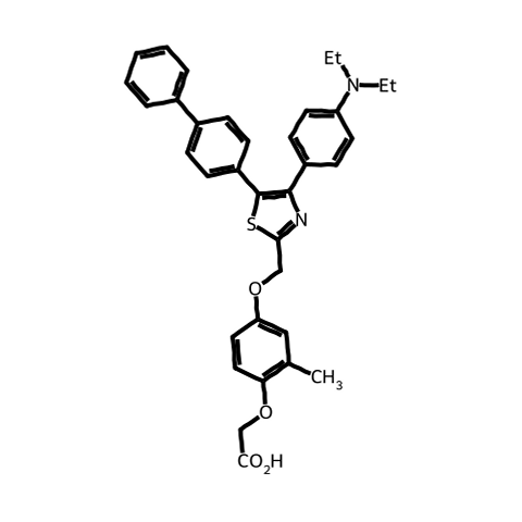 CCN(CC)c1ccc(-c2nc(COc3ccc(OCC(=O)O)c(C)c3)sc2-c2ccc(-c3ccccc3)cc2)cc1